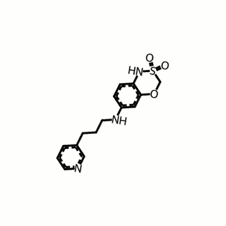 O=S1(=O)COc2cc(NCCCc3cccnc3)ccc2N1